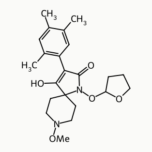 CON1CCC2(CC1)C(O)=C(c1cc(C)c(C)cc1C)C(=O)N2OC1CCCO1